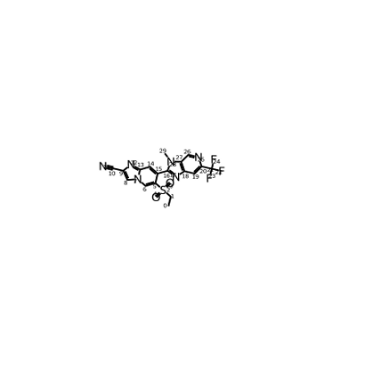 CCS(=O)(=O)c1cn2cc(C#N)nc2cc1-c1nc2cc(C(F)(F)F)ncc2n1C